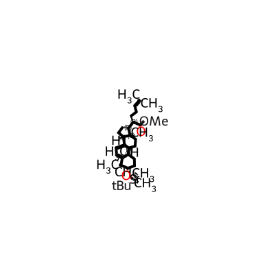 COC(=O)[C@H](CCC=C(C)C)[C@H]1CC[C@H]2C3=CC=C4C(C)(C)[C@@H](O[Si](C)(C)C(C)(C)C)CC[C@]4(C)[C@H]3CC[C@]12C